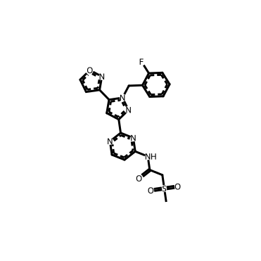 CS(=O)(=O)CC(=O)Nc1ccnc(-c2cc(-c3ccon3)n(Cc3ccccc3F)n2)n1